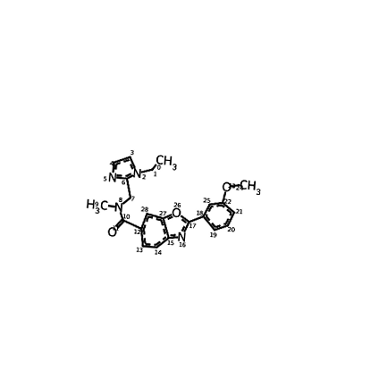 CCn1ccnc1CN(C)C(=O)c1ccc2nc(-c3cccc(OC)c3)oc2c1